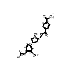 CCNC(=O)c1ccc(C(=O)NC[C@H]2C[C@@H](c3ccc(OC(F)F)c(OC(C)C)c3)CN2C(C)=O)nc1